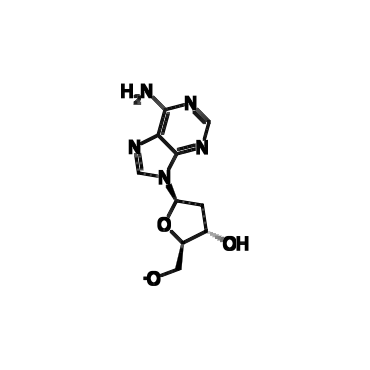 Nc1ncnc2c1ncn2[C@H]1C[C@H](O)[C@@H](C[O])O1